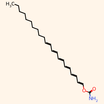 CCCCCCCCCCC=CC=CC=CC=CC=CC=COC(N)=O